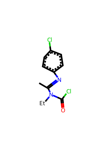 CCN(C(=O)Cl)C(C)=Nc1ccc(Cl)cc1